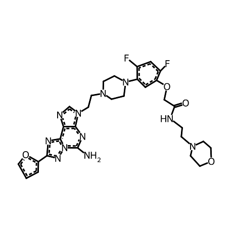 Nc1nc2c(ncn2CCN2CCN(c3cc(OCC(=O)NCCN4CCOCC4)c(F)cc3F)CC2)c2nc(-c3ccco3)nn12